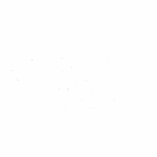 CC1CCC(C(=O)N(c2cc(C#CC(C)(C)C)sc2C(=O)O)C2CC(Oc3ccccn3)C2)CC1